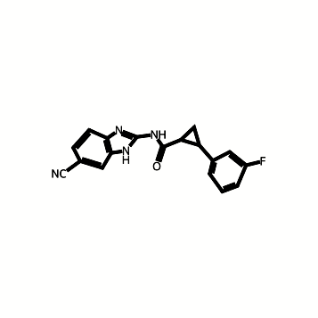 N#Cc1ccc2nc(NC(=O)C3CC3c3cccc(F)c3)[nH]c2c1